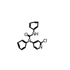 O=C(Nc1ccccc1)N(c1ccccc1)c1ccnc(Cl)c1